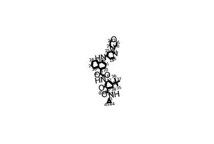 COc1c(NC(=O)C(=O)c2ccc(Nc3ccnc(N4CCOCC4)c3)c3ccccc23)cc(C(C)(C)C)cc1C(=O)NC1CC1